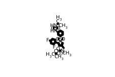 CC(C)NS(=O)(=O)Nc1cccc(S(=O)(=O)n2cc(CN(C)C(=O)OC(C)(C)C)cc2-c2ccc(F)cc2F)c1